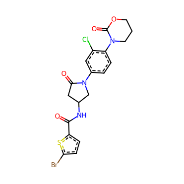 O=C(NC1CC(=O)N(c2ccc(N3CCCOC3=O)c(Cl)c2)C1)c1ccc(Br)s1